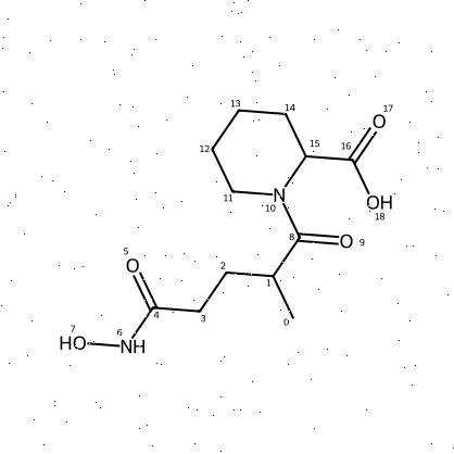 CC(CCC(=O)NO)C(=O)N1CCCCC1C(=O)O